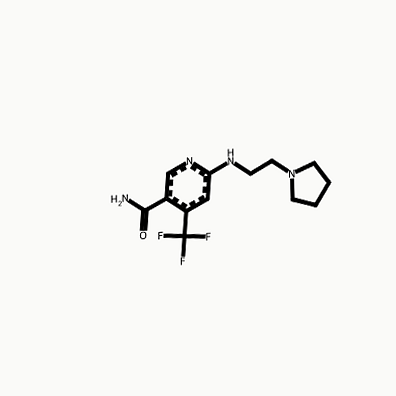 NC(=O)c1cnc(NCCN2CCCC2)cc1C(F)(F)F